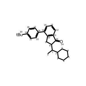 CC(C1CCCCC1)C1Cc2c(cccc2-c2ccc(C(C)(C)C)cc2)C1=O